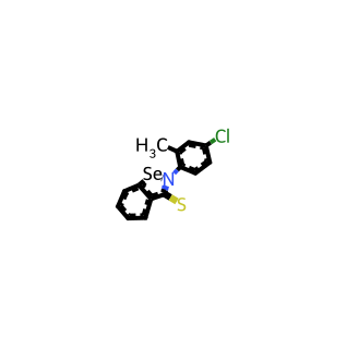 Cc1cc(Cl)ccc1-n1[se]c2ccccc2c1=S